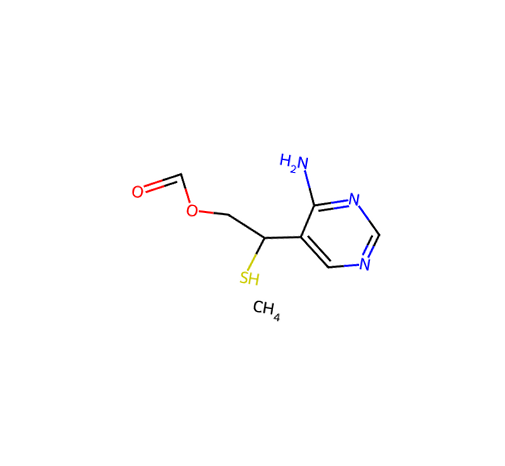 C.Nc1ncncc1C(S)COC=O